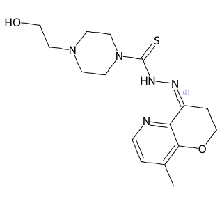 Cc1ccnc2c1OCC/C2=N/NC(=S)N1CCN(CCO)CC1